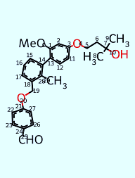 COc1cc(OCCC(C)(C)O)ccc1-c1cccc(COc2ccc(C=O)cc2)c1C